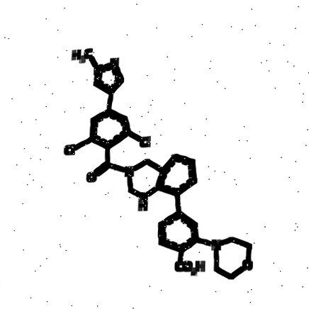 Cn1cc(-c2cc(Cl)c(C(=O)N3CNc4c(cccc4-c4ccc(C(=O)O)c(N5CCOCC5)c4)C3)c(Cl)c2)cn1